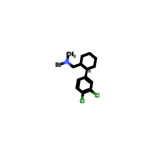 CCN(C)CC1CCCC[C@H]1c1ccc(Cl)c(Cl)c1